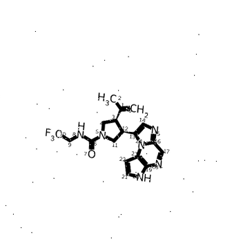 C=C(C)[C@@H]1CN(C(=O)NCC(F)(F)F)C[C@@H]1c1cnc2cnc3[nH]ccc3n12